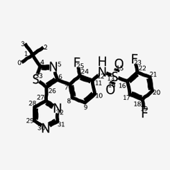 CC(C)(C)c1nc(-c2cccc(NS(=O)(=O)c3cc(F)ccc3F)c2F)c(-c2ccncn2)s1